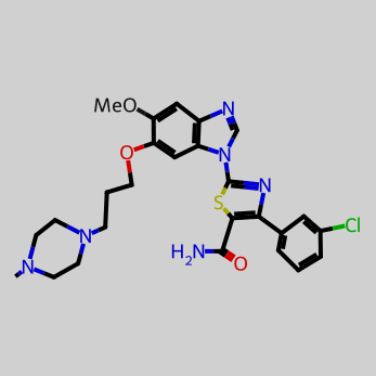 COc1cc2ncn(-c3nc(-c4cccc(Cl)c4)c(C(N)=O)s3)c2cc1OCCCN1CCN(C)CC1